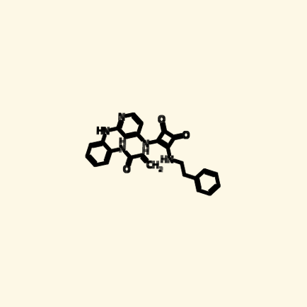 C=CC(=O)Nc1ccccc1Nc1cc(Nc2c(NCCc3ccccc3)c(=O)c2=O)ccn1